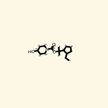 CCC1CCCC1C(C)(C)OC(=O)N1CCC(O)CC1